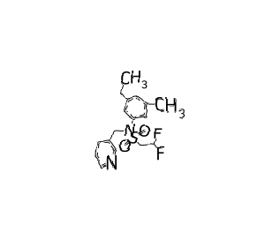 CCc1cc(C)cc(N(Cc2cccnc2)S(=O)(=O)CC(F)F)c1